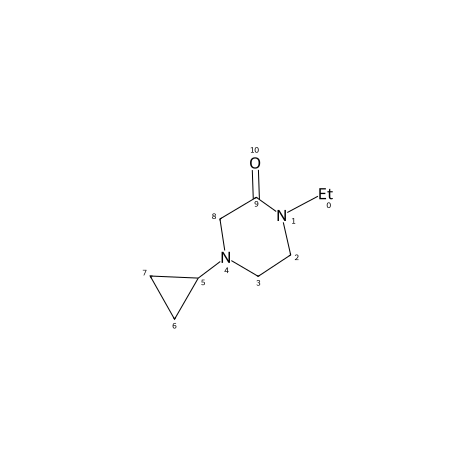 CCN1CCN(C2CC2)CC1=O